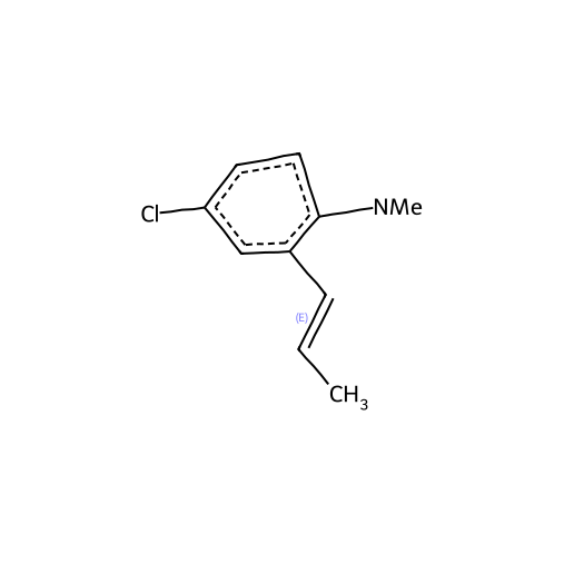 C/C=C/c1cc(Cl)ccc1NC